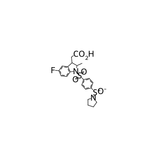 CC1C(CC(=O)O)c2cc(F)ccc2N1S(=O)(=O)c1ccc([S+]([O-])N2CCCC2)cc1